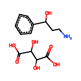 NCCC(O)c1ccccc1.O=C(O)C(O)C(O)C(=O)O